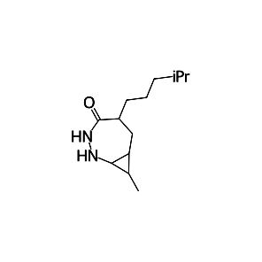 CC(C)CCCC1CC2C(C)C2NNC1=O